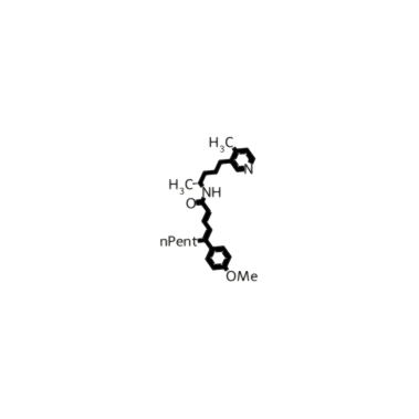 CCCCC/C(=C\C=C\C(=O)N[C@H](C)CCCc1cnccc1C)c1ccc(OC)cc1